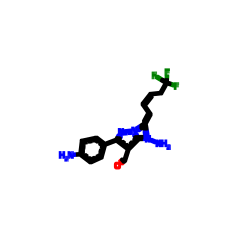 Nc1ccc(-c2nn3/c(=C\C=C/CC(F)(F)F)n(N)c3c2C=O)cc1